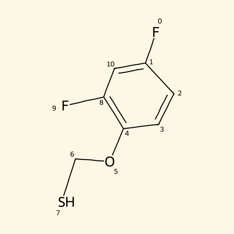 Fc1ccc(OCS)c(F)c1